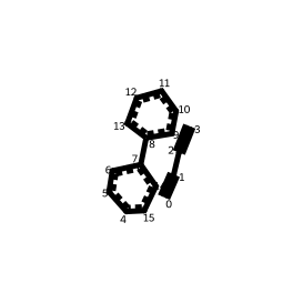 C#CC#C.c1ccc(-c2ccccc2)cc1